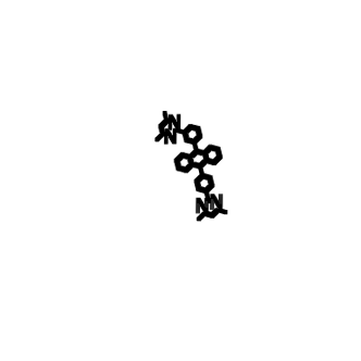 Cc1cc(C)nc(-c2ccc(-c3c4ccccc4c(-c4cccc(-c5nc(C)cc(C)n5)c4)c4ccccc34)cc2)n1